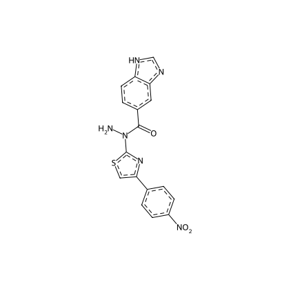 NN(C(=O)c1ccc2[nH]cnc2c1)c1nc(-c2ccc([N+](=O)[O-])cc2)cs1